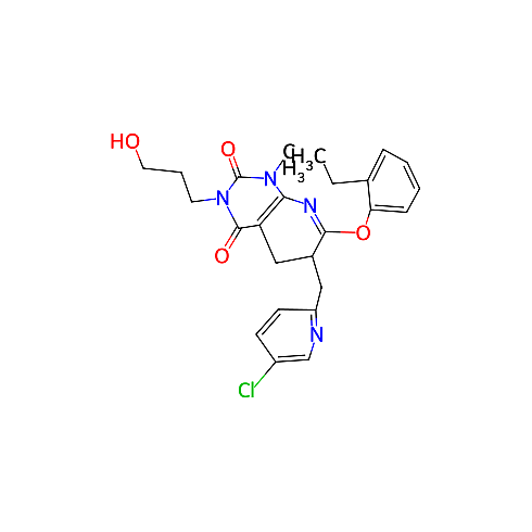 CCc1ccccc1OC1=Nc2c(c(=O)n(CCCO)c(=O)n2C)CC1Cc1ccc(Cl)cn1